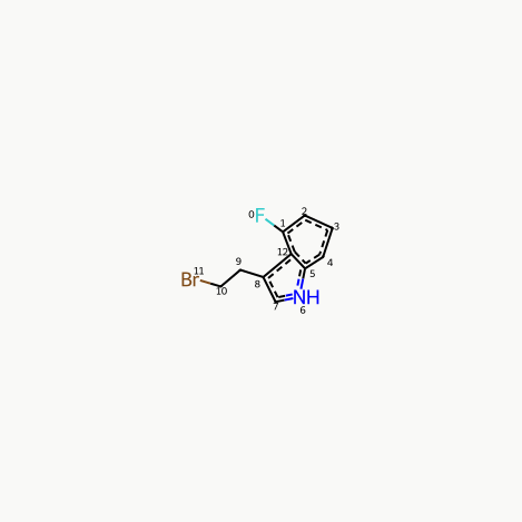 Fc1cccc2[nH]cc(CCBr)c12